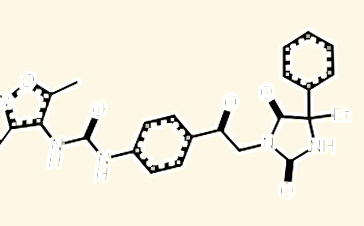 CCC1(c2ccccc2)NC(=O)N(CC(=O)c2ccc(NC(=O)Nc3c(C)noc3C)cc2)C1=O